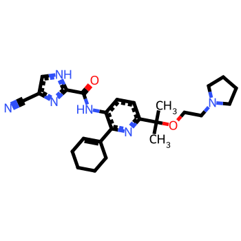 CC(C)(OCCN1CCCC1)c1ccc(NC(=O)c2nc(C#N)c[nH]2)c(C2=CCCCC2)n1